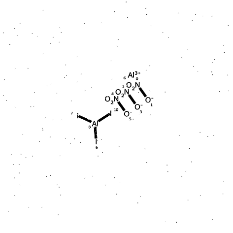 O=[N+]([O-])[O-].O=[N+]([O-])[O-].O=[N+]([O-])[O-].[Al+3].[I][Al]([I])[I]